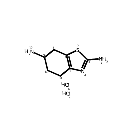 Cl.Cl.Nc1nc2c(s1)CC(N)CC2